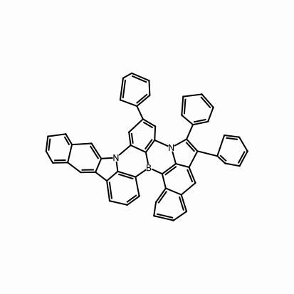 c1ccc(-c2cc3c4c(c2)-n2c5cc6ccccc6cc5c5cccc(c52)B4c2c4ccccc4cc4c(-c5ccccc5)c(-c5ccccc5)n-3c24)cc1